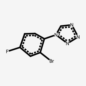 Fc1ccc(-n2cnnn2)c(Br)c1